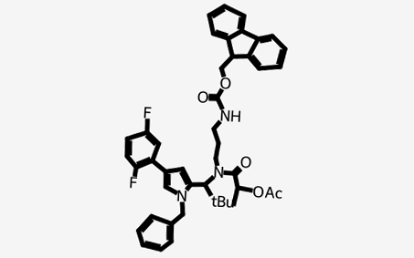 CC(=O)OC(C)C(=O)N(CCCNC(=O)OCC1c2ccccc2-c2ccccc21)C(c1cc(-c2cc(F)ccc2F)cn1Cc1ccccc1)C(C)(C)C